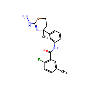 Cc1ccc(F)c(C(=O)Nc2cccc(C3(C)CCSC(NN)=N3)c2)c1